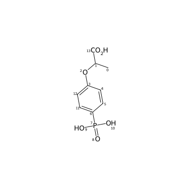 CC(Oc1ccc(P(=O)(O)O)cc1)C(=O)O